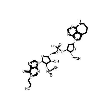 O=c1c2ncn([C@@H]3O[C@H](COP(=O)(S)O[C@H]4C[C@H](n5cc6c7c(ncnc75)NCCC6)O[C@@H]4CO)[C@@H](O)[C@H]3O[PH](=O)S)c2ncn1CCO